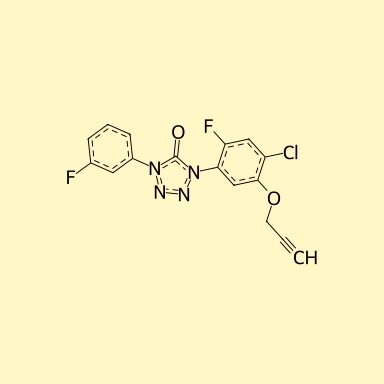 C#CCOc1cc(-n2nnn(-c3cccc(F)c3)c2=O)c(F)cc1Cl